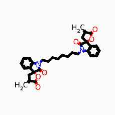 C=C1CC2(OC1=O)C(=O)N(CCCCCCCCN1C(=O)C3(CC(=C)C(=O)O3)c3ccccc31)c1ccccc12